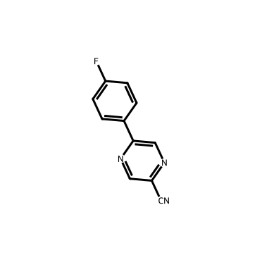 N#Cc1cnc(-c2ccc(F)cc2)cn1